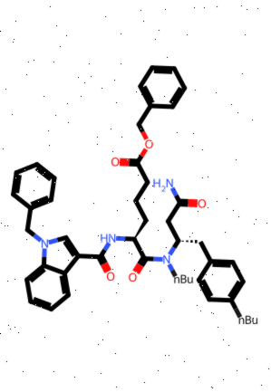 CCCCc1ccc(C[C@@H](CC(N)=O)N(CCCC)C(=O)[C@H](CCCC(=O)OCc2ccccc2)NC(=O)c2cn(Cc3ccccc3)c3ccccc23)cc1